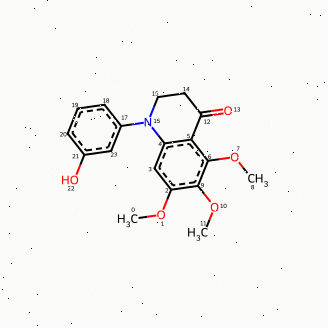 COc1cc2c(c(OC)c1OC)C(=O)CCN2c1cccc(O)c1